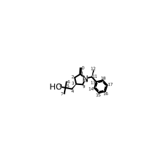 C=C1C[C@H](CC(C)(C)O)CN1[C@@H](C)c1ccccc1